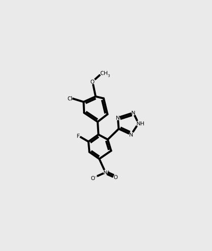 COc1ccc(-c2c(F)cc([N+](=O)[O-])cc2-c2nn[nH]n2)cc1Cl